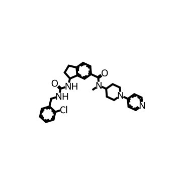 CN(C(=O)c1ccc2c(c1)C(NC(=O)NCc1ccccc1Cl)CC2)C1CCN(c2ccncc2)CC1